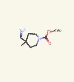 CC1(C=N)CCN(C(=O)OC(C)(C)C)CC1